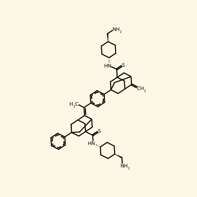 C=C1C2CC3(C(=S)N[C@H]4CC[C@H](CN)CC4)CC1CC(c1ccc(C(C)=C4C5CC6(C(=S)N[C@H]7CC[C@H](CN)CC7)CC4CC(c4ccccc4)(C5)C6)cc1)(C2)C3